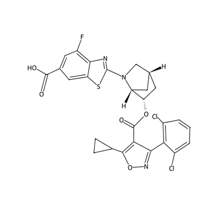 O=C(O)c1cc(F)c2nc(N3C[C@@H]4C[C@H](OC(=O)c5c(-c6c(Cl)cccc6Cl)noc5C5CC5)[C@H]3C4)sc2c1